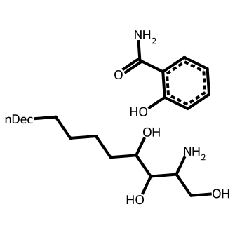 CCCCCCCCCCCCCCC(O)C(O)C(N)CO.NC(=O)c1ccccc1O